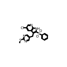 CSc1ncc(Cc2c(S(=O)(=O)c3ccccc3)[nH]c3ncc(Cl)cc23)cn1